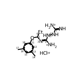 CCC(N=C(N)NNC(=N)N)Oc1cc(C)cc(C)c1.Cl